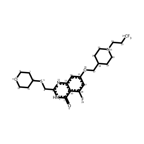 O=c1[nH]c(CSC2CCOCC2)nc2cc(OCC3CCN(CCC(F)(F)F)CC3)cc(F)c12